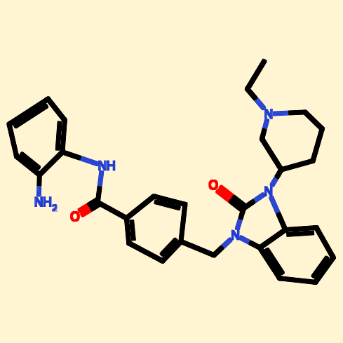 CCN1CCCC(n2c(=O)n(Cc3ccc(C(=O)Nc4ccccc4N)cc3)c3ccccc32)C1